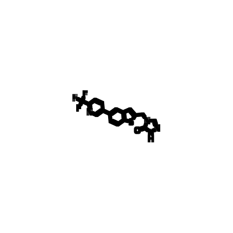 O=c1[nH]ncn1Cc1cc2cc(-c3ccc(C(F)(F)F)nc3)ccc2s1